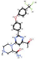 CC(=O)c1cc(N2CCN(C)CC2C(N)=O)nc(-c2ccc(Oc3ccc(C(F)(F)F)cc3)cc2)n1